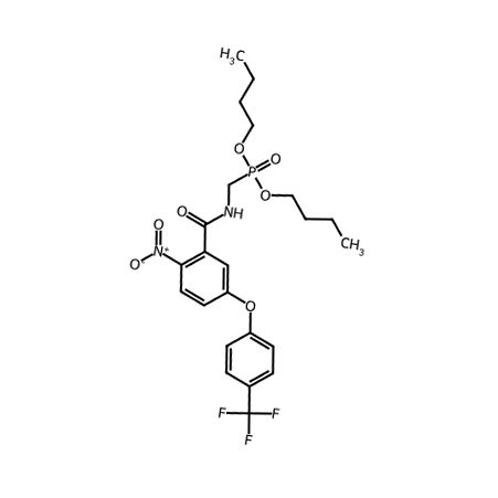 CCCCOP(=O)(CNC(=O)c1cc(Oc2ccc(C(F)(F)F)cc2)ccc1[N+](=O)[O-])OCCCC